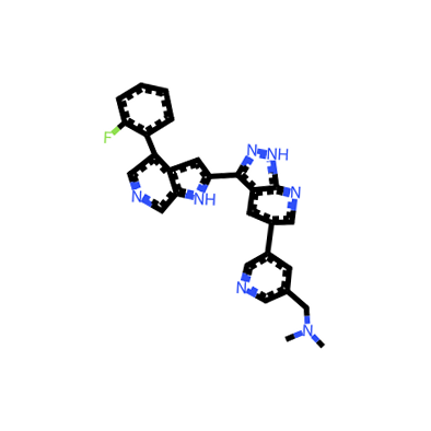 CN(C)Cc1cncc(-c2cnc3[nH]nc(-c4cc5c(-c6ccccc6F)cncc5[nH]4)c3c2)c1